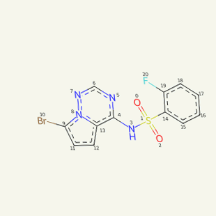 O=S(=O)(Nc1ncnn2c(Br)ccc12)c1ccccc1F